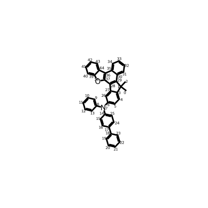 CC1(C)c2ccc(N(c3ccccc3)c3ccc(-c4ccccc4)cc3)cc2-c2c1c1ccccc1c1c2oc2ccccc21